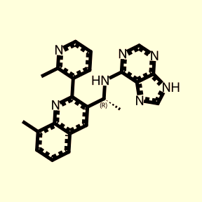 Cc1ncccc1-c1nc2c(C)cccc2cc1[C@@H](C)Nc1ncnc2[nH]cnc12